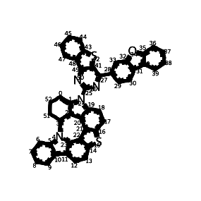 C1=c2c3c(n4c5ccccc5c5ccc6sc7ccc(c3c7c6c54)n2-c2nc(-c3ccc4c(c3)oc3ccccc34)c3sc4ccccc4c3n2)CC1